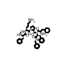 CN[C@@H](Cc1ccccc1)C(=O)N[C@@H](CCCCN)C(=O)N1CCC[C@H]1C(=O)N(C(=O)[C@H](N)CC1CCCCC1)[C@@H](Cc1ccccc1)C(=O)NCc1ccccc1